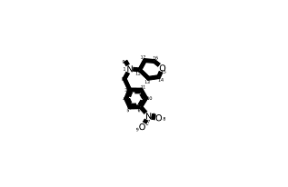 CN(Cc1ccc([N+](=O)[O-])cc1)C1CCOCC1